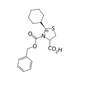 O=C(O)C1CS[C@H](C2CCCCC2)N1C(=O)OCc1ccccc1